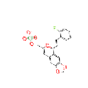 Cc1cc2cc3c(cc2c(/C=C/c2ccccc2F)[o+]1)OCO3.[O-][Cl+3]([O-])([O-])[O-]